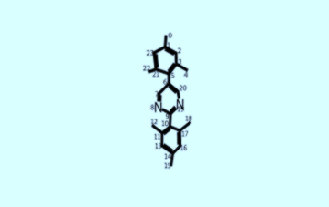 Cc1cc(C)c(-c2cnc(-c3c(C)cc(C)cc3C)nc2)c(C)c1